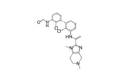 C=C(Nc1cccc(-c2cccc(NC=O)c2Cl)c1Cl)c1nc2c(n1C)CCN(C)C2